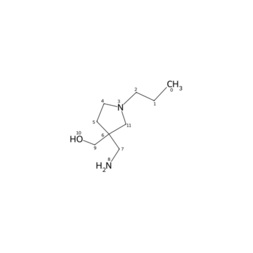 CCCN1CCC(CN)(CO)C1